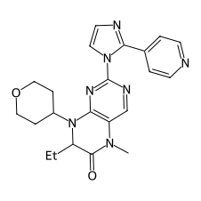 CCC1C(=O)N(C)c2cnc(-n3ccnc3-c3ccncc3)nc2N1C1CCOCC1